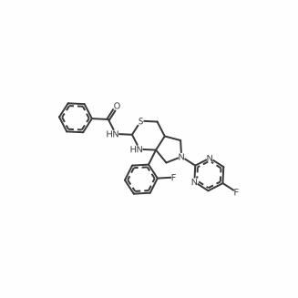 O=C(NC1NC2(c3ccccc3F)CN(c3ncc(F)cn3)CC2CS1)c1ccccc1